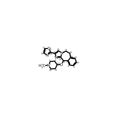 CN1CCC(OC2c3ccccc3CCn3cc(-c4ncco4)nc32)CC1